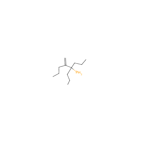 C=C(CCC)C(P)(CCC)CCC